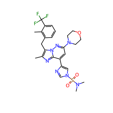 Cc1nc2c(-c3cn(S(=O)(=O)N(C)C)cn3)cc(N3CCOCC3)nn2c1Cc1cccc(C(F)(F)F)c1C